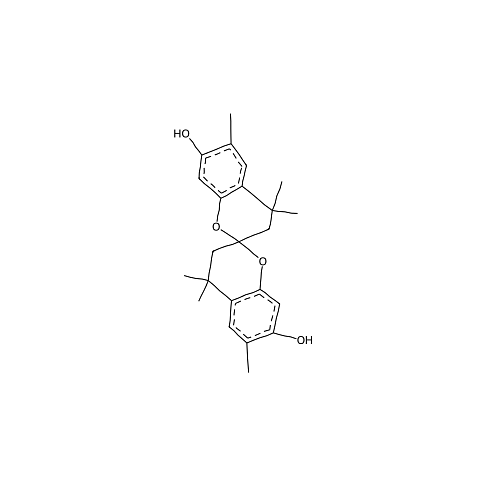 Cc1cc2c(cc1O)OC1(CC2(C)C)CC(C)(C)c2cc(C)c(O)cc2O1